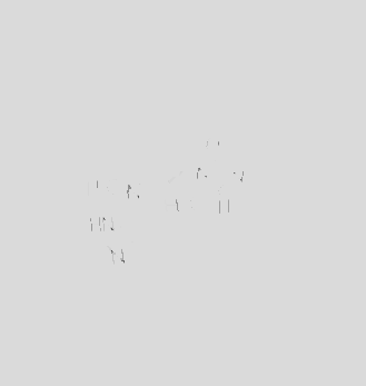 CCN(C(=O)C1CCCCN1C)c1cccc(N(C)Cc2cnc[nH]2)c1